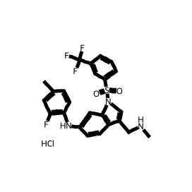 CNCc1cn(S(=O)(=O)c2cccc(C(F)(F)F)c2)c2cc(Nc3ccc(C)cc3F)ccc12.Cl